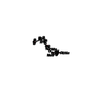 COc1ccc(C2=CN3C(=O)c4cc(OC)c(OCCCOc5cc6c(cc5OC)C(=O)N5C=C(c7ccc(NC(=O)[C@H](C)CC(=O)C(NC(=O)CCCCCN8C(=O)C=CC8=O)C(C)C)cc7)CC5C=N6)cc4N=C[C@@H]3C2)cc1